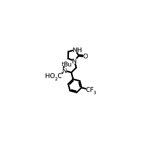 CC(C)(C)N(C(=O)O)C(CN1CCNC1=O)c1cccc(C(F)(F)F)c1